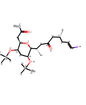 COC(=O)C[C@H]1O[C@@H]([C@@H](C)CC(=O)C[C@H](C)C/C=C/I)[C@@H](O[Si](C)(C)C(C)(C)C)CC1O[Si](C)(C)C(C)(C)C